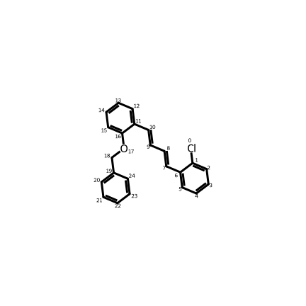 Clc1ccccc1/C=C/C=C/c1ccccc1OCc1ccccc1